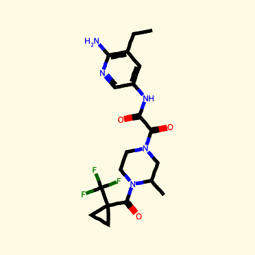 CCc1cc(NC(=O)C(=O)N2CCN(C(=O)C3(C(F)(F)F)CC3)C(C)C2)cnc1N